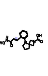 O=C(/C=C/c1ccccc1N1CCCC12CN(C(=O)O)C2)NO